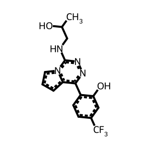 CC(O)CNc1nnc(-c2ccc(C(F)(F)F)cc2O)c2cccn12